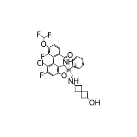 NC(=O)c1ccc(OC(F)F)c(F)c1-c1c(Cl)c(F)cc2c1C[C@@](CNC1CC3(CC(O)C3)C1)(c1ccccc1)O2